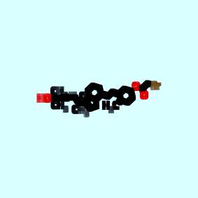 C=C1CC[C@H](OC(=O)CBr)C/C1=C/C=C1\CCC[C@]2(C)C([C@H](C)CC#CC(C)(C)O)=CCC12